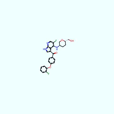 O=C(c1ccc(Oc2ccccc2F)cc1)c1c[nH]c2ncc(F)c(N[C@@H]3CC[C@@H](CO)OC3)c12